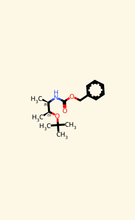 C[C@H](OC(C)(C)C)[C@@H](C)NC(=O)OCc1ccccc1